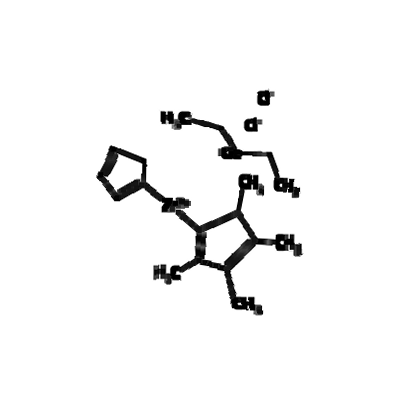 CC1=C(C)C(C)[C]([Zr+2][C]2=CC=CC2)=C1C.C[CH2][Ge][CH2]C.[Cl-].[Cl-]